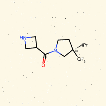 CC(C)[C@@]1(C)CCN(C(=O)C2CNC2)C1